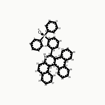 O=P(c1ccccc1)(c1ccccc1)c1cccc(-c2nc3ccc4ccccc4c3c3c4ccccc4c4ccccc4c23)c1